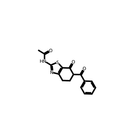 CC(=O)Nc1nc2c(s1)C(=O)C(C(=O)c1ccccc1)CC2